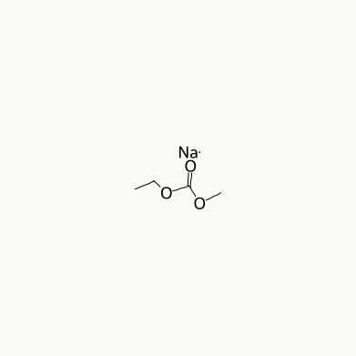 CCOC(=O)OC.[Na]